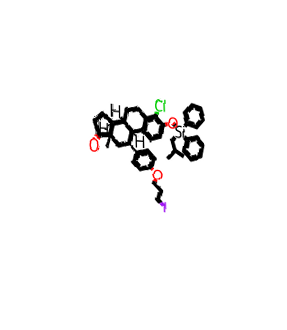 CC(C)C[Si](Oc1ccc2c(c1Cl)CC[C@@H]1[C@@H]2[C@@H](c2ccc(OCCCI)cc2)C[C@]2(C)C(=O)CC[C@@H]12)(c1ccccc1)c1ccccc1